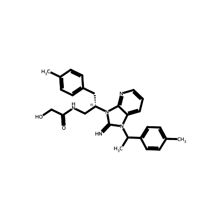 Cc1ccc(C[C@@H](CNC(=O)CO)n2c(=N)n(C(C)c3ccc(C)cc3)c3cccnc32)cc1